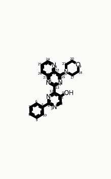 Oc1cnc(-c2ccccc2)nc1-c1nc(N2CCOCC2)c2ncccc2n1